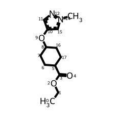 CCOC(=O)C1CCC(Oc2cnn(C)c2)CC1